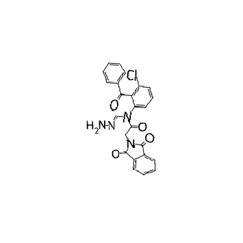 NN=CN(C(=O)CN1C(=O)c2ccccc2C1=O)c1cccc(Cl)c1C(=O)c1ccccc1